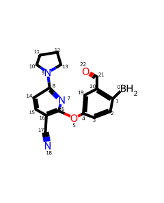 Bc1ccc(Oc2nc(N3CCCC3)ccc2C#N)cc1C=O